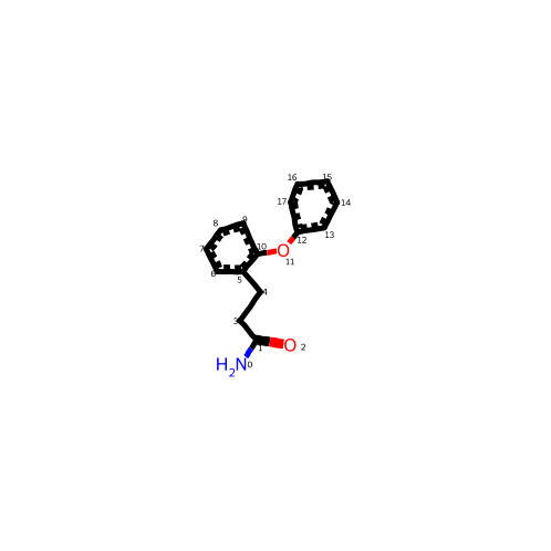 NC(=O)CCc1ccccc1Oc1ccccc1